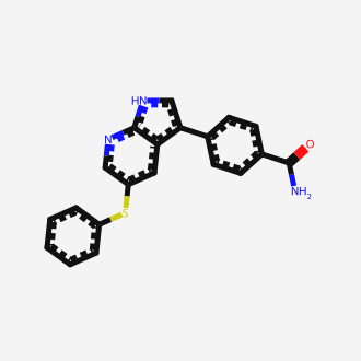 NC(=O)c1ccc(-c2c[nH]c3ncc(Sc4ccccc4)cc23)cc1